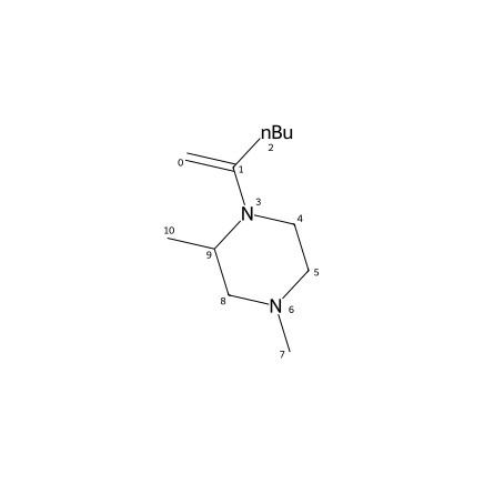 C=C(CCCC)N1CCN(C)CC1C